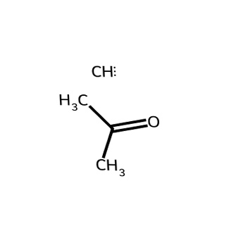 CC(C)=O.[CH]